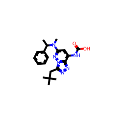 CC(c1ccccc1)N(C)c1cc(NC(=O)O)c2nnc(CC(C)(C)C)n2n1